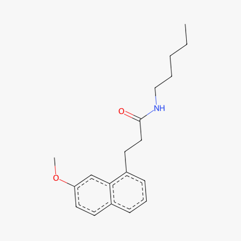 CCCCCNC(=O)CCc1cccc2ccc(OC)cc12